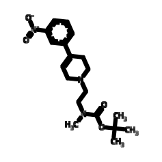 CN(CCN1CC=C(c2cccc([N+](=O)[O-])c2)CC1)C(=O)OC(C)(C)C